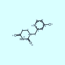 O=C1CCN(Cc2cc(Cl)ccn2)C(=O)N1